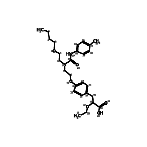 CCCCOCCN(CCOc1ccc(CC(OCC)C(=O)O)cc1)C(=O)Nc1ccc(C)cc1